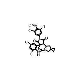 COc1c(Cl)cc(N2C(=O)C3C4CC5(CC5)CN4C4=NC3(C2=O)c2cc(Cl)cc(Cl)c2N4)cc1Cl